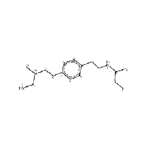 CCC(C)NCCc1ccc(CCN(C)CS)cc1